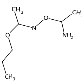 CCCOC(C)[N]OC(C)N